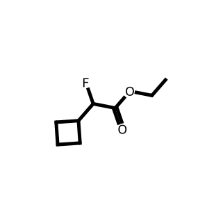 CCOC(=O)C(F)C1CCC1